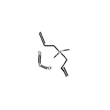 C=CC[N+](C)(C)CC=C.O=S=O